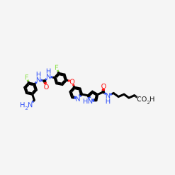 NCc1ccc(F)c(NC(=O)Nc2ccc(Oc3ccnc(-c4cc(C(=O)NCCCCCC(=O)O)c[nH]4)c3)cc2F)c1